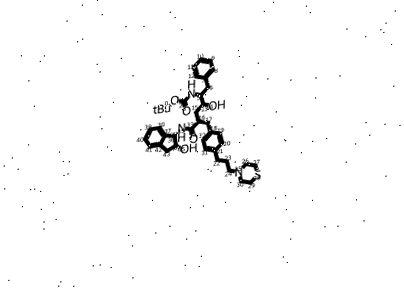 CC(C)(C)OC(=O)NC(Cc1ccccc1)C(O)CC(Cc1ccc(CCCN2CCSCC2)cc1)C(=O)N[C@H]1c2ccccc2C[C@@H]1O